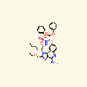 CCCC[C@H](CO[P@](=O)(N[C@@H](C)C(=O)Oc1ccccc1)Oc1ccccc1)n1c(COCC)nc2c(N)nc3ccccc3c21